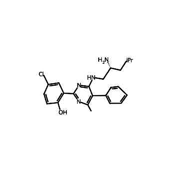 Cc1nc(-c2cc(Cl)ccc2O)nc(NC[C@H](N)CC(C)C)c1-c1ccccc1